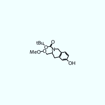 COOCC1Cc2cc(O)ccc2CN1C(=O)OC(C)(C)C